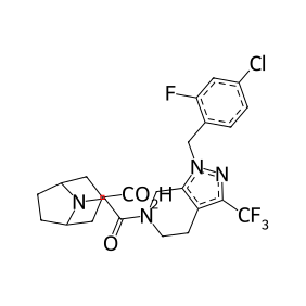 O=C(O)C1CC2CCC(C1)N2CC(=O)N1CCc2c(C(F)(F)F)nn(Cc3ccc(Cl)cc3F)c2C1